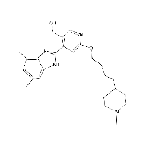 Cc1cc(C)c2nc(-c3cc(OCCCCC4CCN(C)CC4)ncc3CO)[nH]c2c1